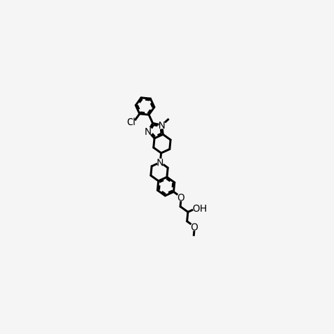 COCC(O)COc1ccc2c(c1)CN(C1CCc3c(nc(-c4ccccc4Cl)n3C)C1)CC2